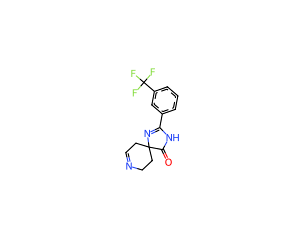 O=C1NC(c2cccc(C(F)(F)F)c2)=NC12CC=NCC2